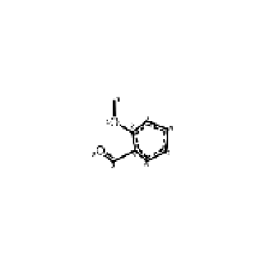 COc1c[c]ccc1C=O